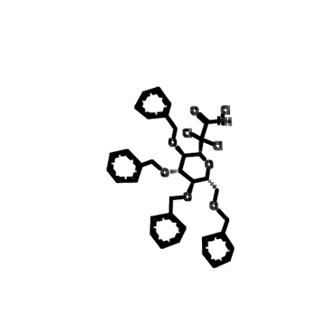 O=C(NCl)C(Cl)(Cl)[C@H]1O[C@H](COCc2ccccc2)[C@@H](OCc2ccccc2)[C@H](OCc2ccccc2)[C@H]1OCc1ccccc1